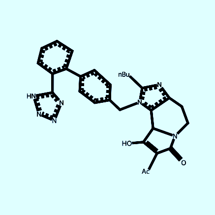 CCCCc1nc2c(n1Cc1ccc(-c3ccccc3-c3nnn[nH]3)cc1)C1C(O)=C(C(C)=O)C(=O)N1CC2